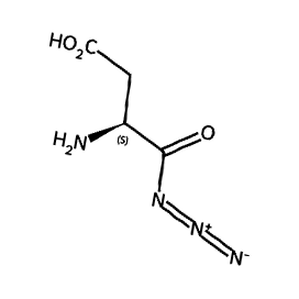 [N-]=[N+]=NC(=O)[C@@H](N)CC(=O)O